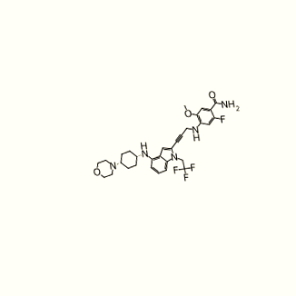 COc1cc(C(N)=O)c(F)cc1NCC#Cc1cc2c(N[C@H]3CC[C@@H](N4CCOCC4)CC3)cccc2n1CC(F)(F)F